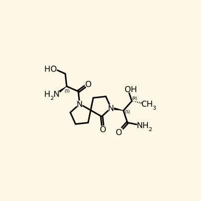 C[C@@H](O)[C@@H](C(N)=O)N1CCC2(CCCN2C(=O)[C@@H](N)CO)C1=O